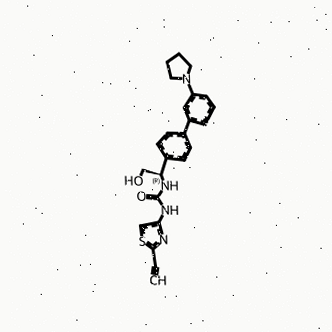 C#Cc1nc(NC(=O)N[C@@H](CO)c2ccc(-c3cccc(N4CCCC4)c3)cc2)cs1